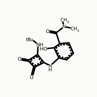 CN(C)C(=O)c1cccc(Nc2c(NC(C)(C)C)c(=O)c2=O)c1O